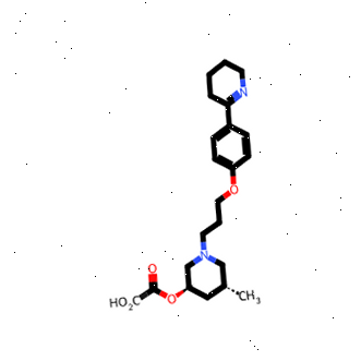 C[C@@H]1C[C@@H](OC(=O)C(=O)O)CN(CCCOc2ccc(C3=NCCCC3)cc2)C1